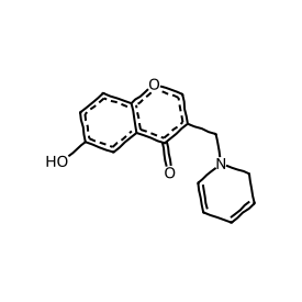 O=c1c(CN2C=CC=CC2)coc2ccc(O)cc12